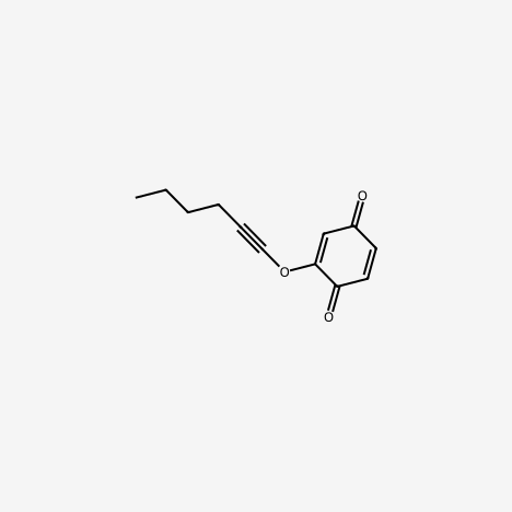 CCCCC#COC1=CC(=O)C=CC1=O